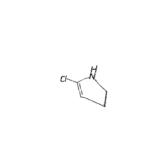 ClC1=CCCN1